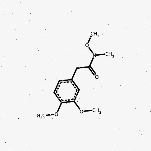 COc1ccc(CC(=O)N(C)OC)cc1OC